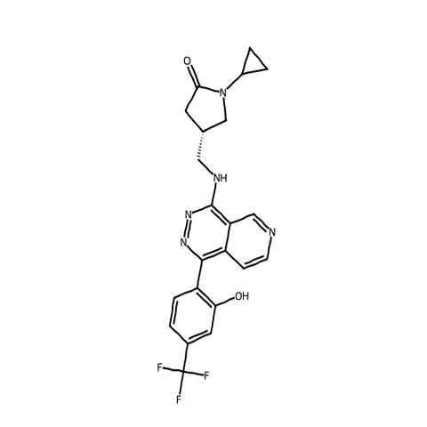 O=C1C[C@@H](CNc2nnc(-c3ccc(C(F)(F)F)cc3O)c3ccncc23)CN1C1CC1